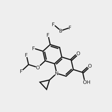 F[B]F.O=C(O)c1cn(C2CC2)c2c(OC(F)F)c(F)c(F)cc2c1=O